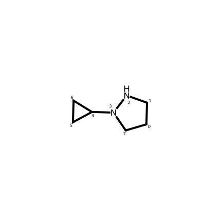 C1CNN(C2CC2)C1